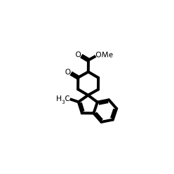 COC(=O)C1CCC2(CC1=O)C(C)=Cc1ccccc12